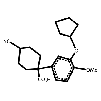 COc1ccc(C2(C(=O)O)CCC(C#N)CC2)cc1OC1CCCC1